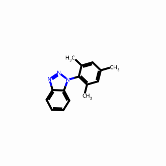 Cc1cc(C)c(-n2nnc3ccccc32)c(C)c1